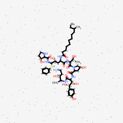 CCC(C)CC(C)CCCCCCCCC(=O)NC(C[C@@H](O)C(NC(=O)C1NCC[C@@H]1O)Sc1ccccc1)C(=O)NC(C(=O)N1C[C@H](O)CC1C(=O)NC(C(=O)NC(C=O)[C@H](O)CCN)[C@H](O)[C@@H](O)c1ccc(O)cc1)[C@@H](C)O